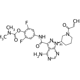 C=CC(=O)N1CCC[C@@H](n2nc(C(=O)Nc3cc(F)c(OC(=O)N(C)C)c(F)c3)c3c(N)ncnc32)C1